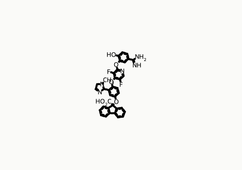 CN1CC=NC1c1cc(OC2(C(=O)O)c3ccccc3-c3ccccc32)ccc1Oc1c(F)cnc(Oc2cc(C(=N)N)ccc2O)c1F